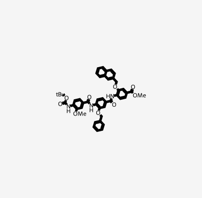 COC(=O)c1ccc(NC(=O)c2ccc(NC(=O)c3ccc(NC(=O)OC(C)(C)C)c(OC)c3)c(OCc3ccccc3)c2)c(OCc2ccc3ccccc3c2)c1